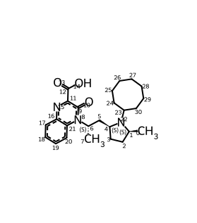 C[C@H]1CC[C@@H](C[C@H](C)n2c(=O)c(C(=O)O)nc3ccccc32)N1C1CCCCCCC1